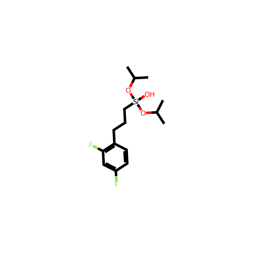 CC(C)O[Si](O)(CCCc1ccc(F)cc1F)OC(C)C